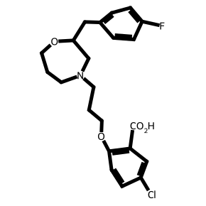 O=C(O)c1cc(Cl)ccc1OCCCN1CCCOC(Cc2ccc(F)cc2)C1